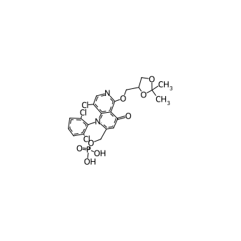 CC1(C)OCC(COc2ncc(Cl)c3c2c(=O)cc(COP(=O)(O)O)n3-c2c(Cl)cccc2Cl)O1